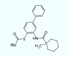 CC(C)(C)C(=O)Sc1ccc(-c2ccccc2)cc1NC(=O)C1(C)CCCCC1